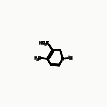 [2H]N1C=CC(C(F)(F)F)=C(C(=O)O)C1